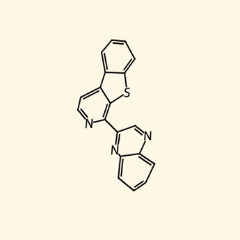 c1ccc2nc(-c3nccc4c3sc3ccccc34)cnc2c1